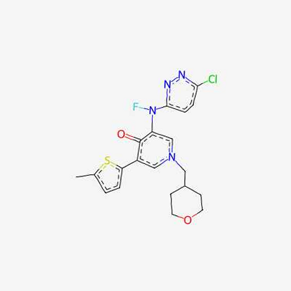 Cc1ccc(-c2cn(CC3CCOCC3)cc(N(F)c3ccc(Cl)nn3)c2=O)s1